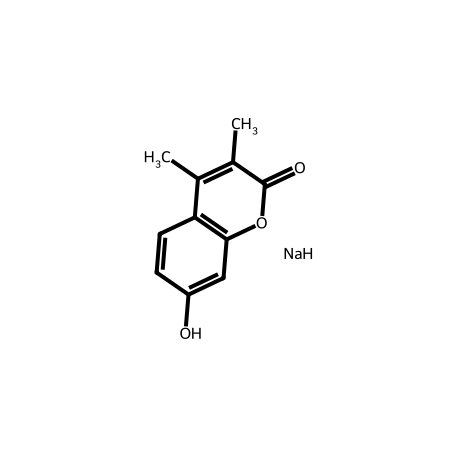 Cc1c(C)c2ccc(O)cc2oc1=O.[NaH]